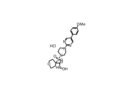 COc1ccc(-c2cnc(N3CCN(S(=O)(=O)C4(C(=O)NO)CCOCC4)CC3)nc2)cc1.Cl